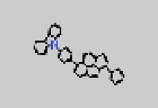 c1ccc(-c2ccc3ccc4c(-c5ccc(-n6c7ccccc7c7ccccc76)cc5)ccc5ccc2c3c54)cc1